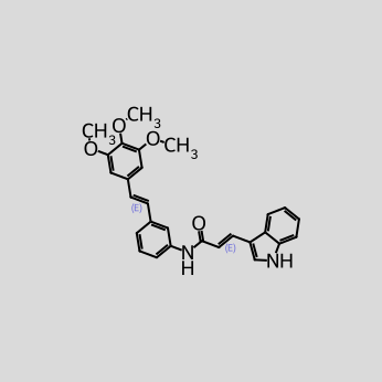 COc1cc(/C=C/c2cccc(NC(=O)/C=C/c3c[nH]c4ccccc34)c2)cc(OC)c1OC